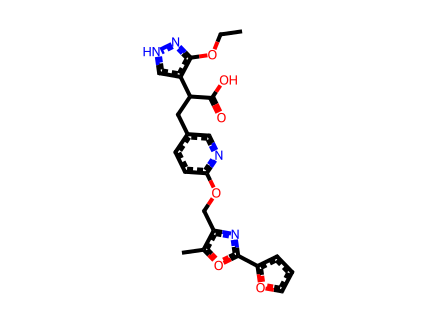 CCOc1n[nH]cc1C(Cc1ccc(OCc2nc(-c3ccco3)oc2C)nc1)C(=O)O